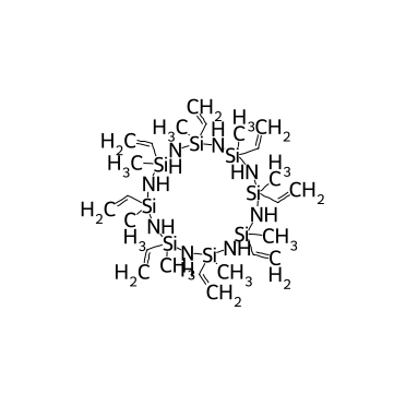 C=C[Si]1(C)N[Si](C)(C=C)N[Si](C)(C=C)N[Si](C)(C=C)N[Si](C)(C=C)N[Si](C)(C=C)N[Si](C)(C=C)N[Si](C)(C=C)N1